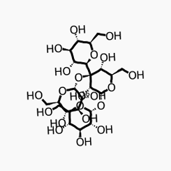 OC[C@H]1O[C@@H]([C@]2(O[C@H]3O[C@H](CO)[C@@H](O)[C@H](O)[C@H]3[16OH])[C@H](O)[C@@H](CO)O[C@H](O[C@H]3O[C@H](CO)[C@@H](O)[C@H](O)[C@H]3O)[C@@H]2O)[C@H](O)[C@@H](O)[C@@H]1O